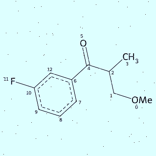 COCC(C)C(=O)c1cccc(F)c1